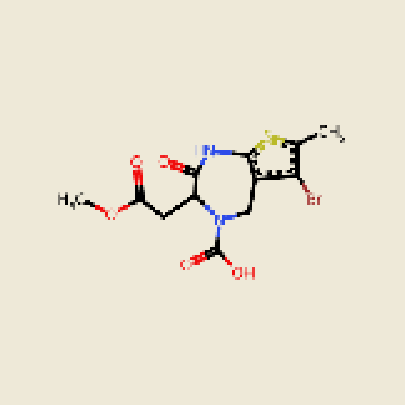 COC(=O)CC1C(=O)Nc2sc(C)c(Br)c2CN1C(=O)O